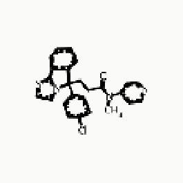 CN(C(=O)CCC1(c2ccc(Cl)cc2)c2ccccc2-c2nccn21)c1ccncc1